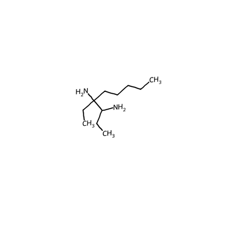 CCCCCC(N)(CC)C(N)CC